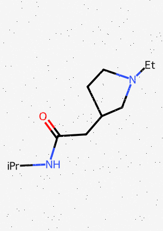 CCN1CCC(CC(=O)NC(C)C)C1